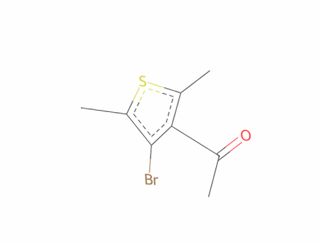 CC(=O)c1c(C)sc(C)c1Br